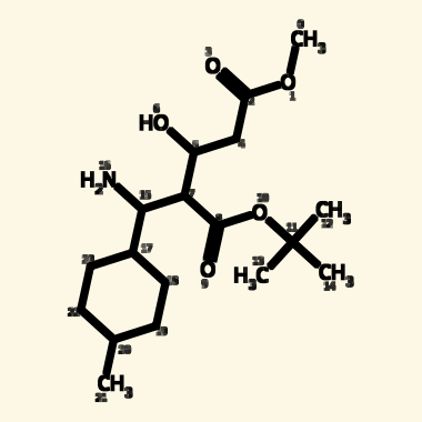 COC(=O)CC(O)C(C(=O)OC(C)(C)C)C(N)C1CCC(C)CC1